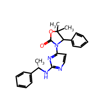 C[C@H](Nc1nccc(N2C(=O)OC(C)(C)C2c2ccccc2)n1)c1ccccc1